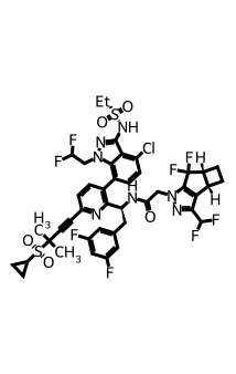 CCS(=O)(=O)Nc1nn(CC(F)F)c2c(-c3ccc(C#CC(C)(C)S(=O)(=O)C4CC4)nc3[C@H](Cc3cc(F)cc(F)c3)NC(=O)Cn3nc(C(F)F)c4c3C(F)(F)[C@@H]3CC[C@H]43)ccc(Cl)c12